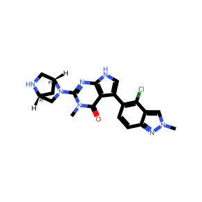 Cn1cc2c(Cl)c(-c3c[nH]c4nc(N5C[C@H]6C[C@@H]5CN6)n(C)c(=O)c34)ccc2n1